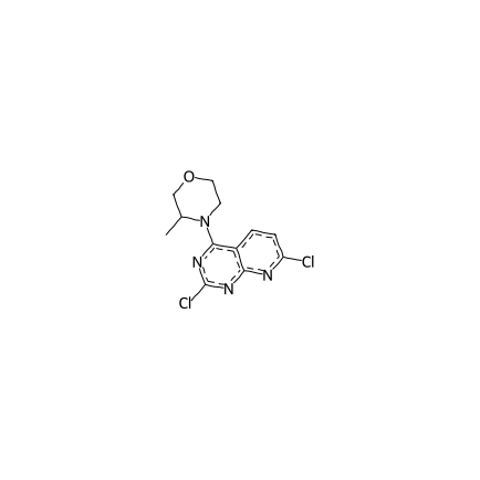 CC1COCCN1c1nc(Cl)nc2nc(Cl)ccc12